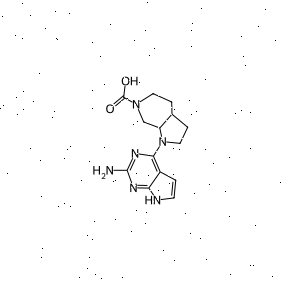 Nc1nc(N2CCC3CCN(C(=O)O)CC32)c2cc[nH]c2n1